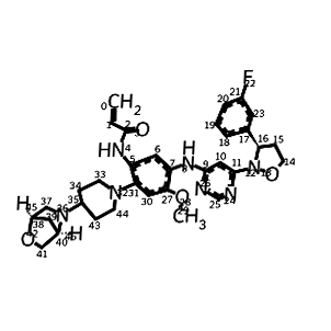 C=CC(=O)Nc1cc(Nc2cc(N3OCC[C@@H]3c3cccc(F)c3)ncn2)c(OC)cc1N1CCC(N2C[C@H]3C[C@@H]2CO3)CC1